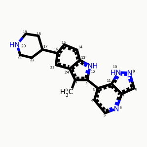 Cc1c(-c2ccnc3cn[nH]c23)[nH]c2ccc(C3CCNCC3)cc12